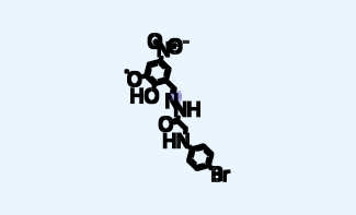 COc1cc([N+](=O)[O-])cc(/C=N/NC(=O)CNc2ccc(Br)cc2)c1O